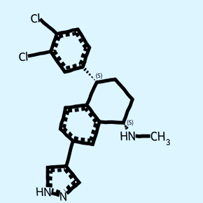 CN[C@H]1CC[C@@H](c2ccc(Cl)c(Cl)c2)c2ccc(-c3cn[nH]c3)cc21